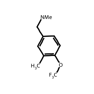 CNCc1ccc(OC(F)(F)F)c(C)c1